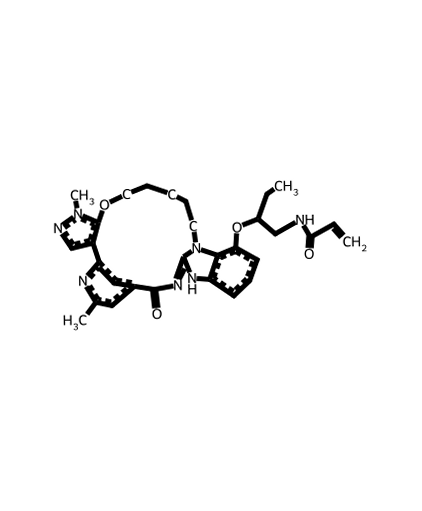 C=CC(=O)NCC(CC)Oc1cccc2c1N1CCCCCOc3c(cnn3C)-c3cc(cc(C)n3)C(=O)/N=C/1N2